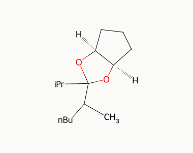 CCCCC(C)C1(C(C)C)O[C@H]2CCC[C@H]2O1